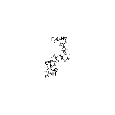 O=C1CCC(N2Cc3cc(O[C@@H]4CCCC[C@@H]4N4CC(c5ccnc(C(F)(F)F)c5)C4)ccc3C2=O)C(=O)N1